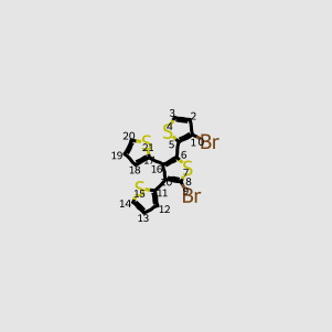 Brc1ccsc1-c1sc(Br)c(-c2cccs2)c1-c1cccs1